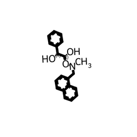 CN(Cc1cccc2ccccc12)O[C@@H](O)[C@H](O)c1ccccc1